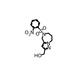 O=[N+]([O-])c1ccccc1S(=O)(=O)N1CCCn2nc(CO)cc2C1